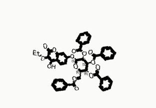 CCOc1c(O)c2ccc(O[C@@H]3O[C@H](COC(=O)c4ccccc4)[C@@H](OC(=O)c4ccccc4)[C@H](OC(=O)c4ccccc4)[C@H]3OC(=O)c3ccccc3)cc2oc1=O